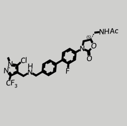 CC(=O)NC[C@H]1CN(c2ccc(-c3ccc(CNCc4c(C(F)(F)F)nn(C)c4Cl)cc3)c(F)c2)C(=O)O1